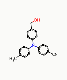 Cc1ccc(N(c2ccc(C#N)cc2)c2ccc(CO)cc2)cc1